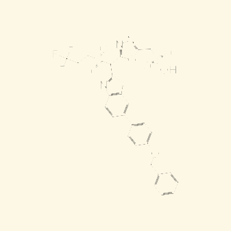 O=S(=O)(O)Cc1nnc(C(c2nc3ccc(-c4ccc(OCc5ccccc5)cc4)cc3s2)S(=O)(=O)CCC(F)(F)F)o1